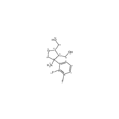 NC1(c2cccc(F)c2F)COC(CO)C1CO